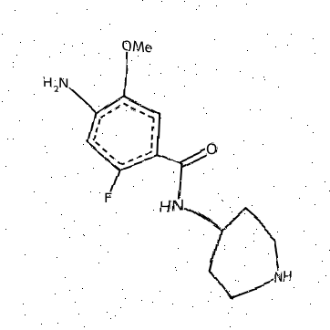 COc1cc(C(=O)NC2CCNCC2)c(F)cc1N